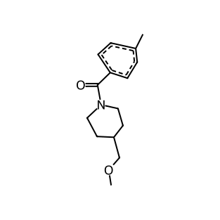 COCC1CCN(C(=O)c2ccc(C)cc2)CC1